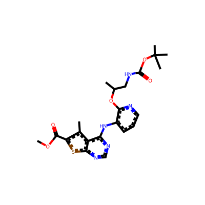 COC(=O)c1sc2ncnc(Nc3cccnc3OC(C)CNC(=O)OC(C)(C)C)c2c1C